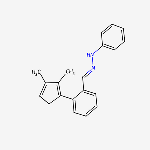 CC1=CCC(c2ccccc2C=NNc2ccccc2)=C1C